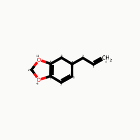 C=CCC1[CH]C2=C(C=C1)OCO2